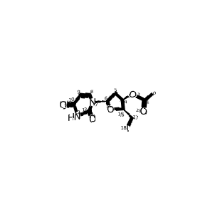 CC(=O)O[C@@H]1C[C@H](n2ccc(=O)[nH]c2=O)O[C@@H]1CI